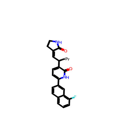 CC(C)C(C=C1CCNC1=O)c1ccc(-c2ccc3cccc(F)c3c2)[nH]c1=O